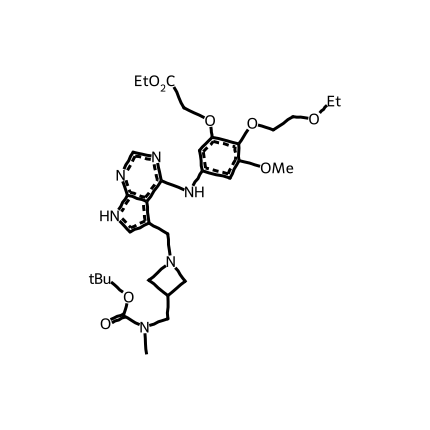 CCOCCOc1c(OC)cc(Nc2ncnc3[nH]cc(CN4CC(CN(C)C(=O)OC(C)(C)C)C4)c23)cc1OCC(=O)OCC